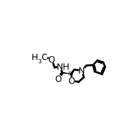 COCNC(=O)[C@H]1CN(Cc2ccccc2)CCO1